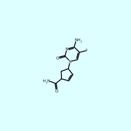 NC(=O)C1C=CC(n2cc(F)c(N)nc2=O)C1